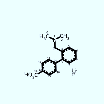 CN(C)Cc1ccccc1-c1ccc(C(=O)O)cc1.[Li]